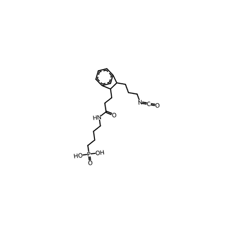 O=C=NCCCC1c2cccc(c2)C1CCC(=O)NCCCCP(=O)(O)O